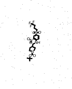 CC(C)(C)OC(=O)N1CCC(CNc2ccc(S(=O)(=O)CCCC(F)(F)F)cc2[N+](=O)[O-])CC1